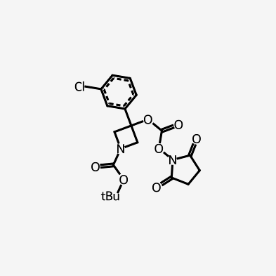 CC(C)(C)OC(=O)N1CC(OC(=O)ON2C(=O)CCC2=O)(c2cccc(Cl)c2)C1